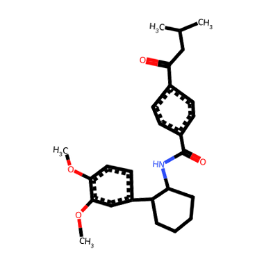 COc1ccc(C2CCCCC2NC(=O)c2ccc(C(=O)CC(C)C)cc2)cc1OC